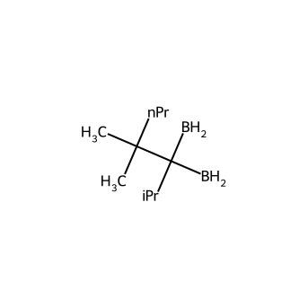 BC(B)(C(C)C)C(C)(C)CCC